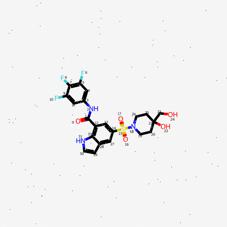 O=C(Nc1cc(F)c(F)c(F)c1)c1cc(S(=O)(=O)N2CCC(O)(CO)CC2)cc2cc[nH]c12